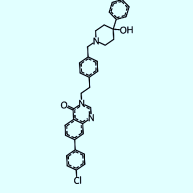 O=c1c2ccc(-c3ccc(Cl)cc3)cc2ncn1CCc1ccc(CN2CCC(O)(c3ccccc3)CC2)cc1